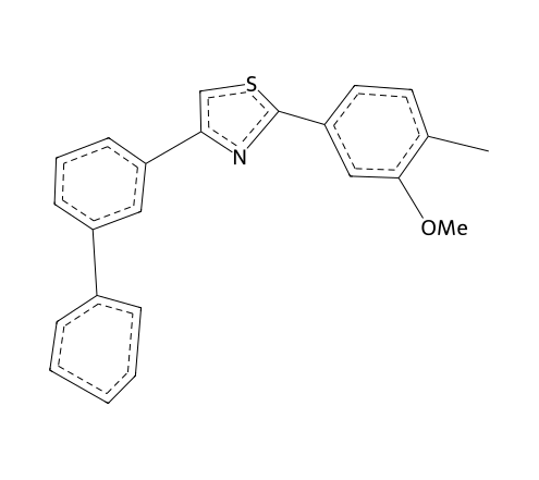 COc1cc(-c2nc(-c3cccc(-c4ccccc4)c3)cs2)ccc1C